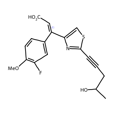 COc1ccc(/C(=C\C(=O)O)c2csc(C#CCC(C)O)n2)cc1F